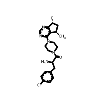 C[C@@H]1C[C@@H](F)c2ncnc(N3CCN(C(=O)C(N)Cc4ccc(Cl)cc4)CC3)c21